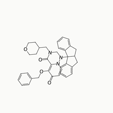 O=C1c2c(OCc3ccccc3)c(=O)ccn2N(C23c4ccccc4CC2Cc2ccccc23)CN1CC1CCOCC1